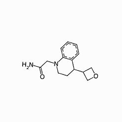 NC(=O)CN1CCC(C2COC2)c2ccccc21